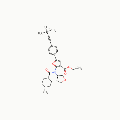 CCOC(=O)c1cc(-c2ccc(C#C[Si](C)(C)C)cc2)oc1N(C(=O)[C@H]1CC[C@H](C)CC1)C1CCOC1